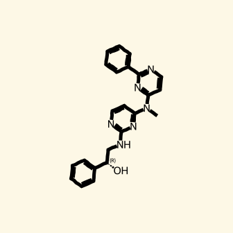 CN(c1ccnc(NC[C@H](O)c2ccccc2)n1)c1ccnc(-c2ccccc2)n1